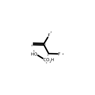 C=C(F)CF.O=C(O)O